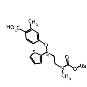 Cc1cc(O[C@@H](CCN(C)C(=O)OC(C)(C)C)c2cccs2)ccc1C(=O)O